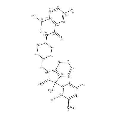 COc1nc(C)cc(C2(O)C(=O)N(C[C@H]3CC[C@H](NC(=O)c4cc(Cl)cnc4C(F)F)CC3)C3=C2C=CCC3)c1F